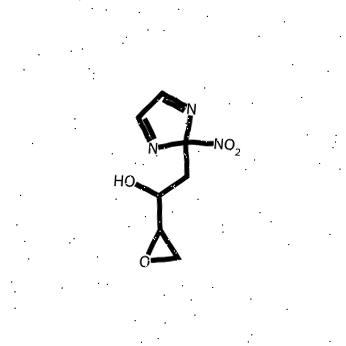 O=[N+]([O-])C1(CC(O)C2CO2)N=CC=N1